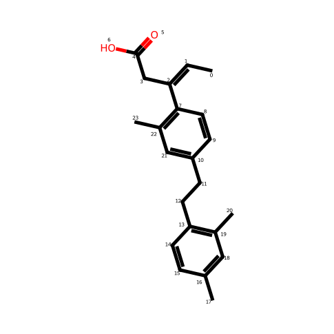 C/C=C(/CC(=O)O)c1ccc(CCc2ccc(C)cc2C)cc1C